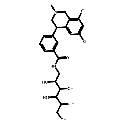 CN1Cc2c(Cl)cc(Cl)cc2C(c2cccc(C(=O)NCC(O)C(O)C(O)C(O)CO)c2)C1